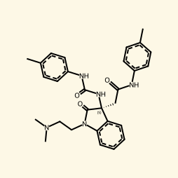 Cc1ccc(NC(=O)C[C@@]2(NC(=O)Nc3ccc(C)cc3)C(=O)N(CCN(C)C)c3ccccc32)cc1